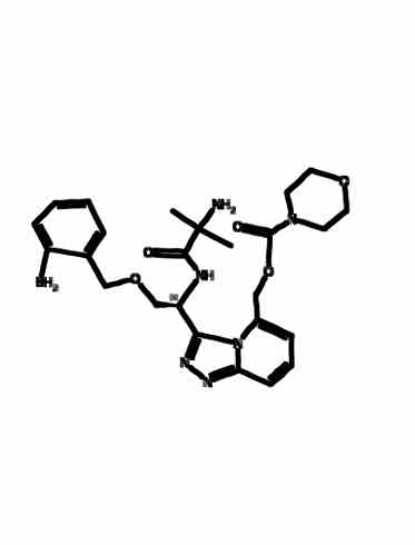 Bc1ccccc1COC[C@@H](NC(=O)C(C)(C)N)c1nnc2cccc(COC(=O)N3CCOCC3)n12